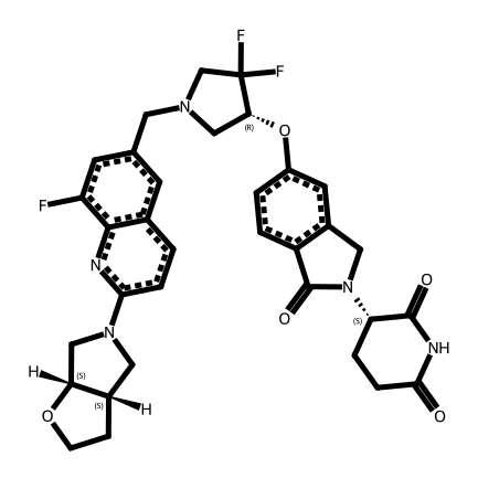 O=C1CC[C@H](N2Cc3cc(O[C@@H]4CN(Cc5cc(F)c6nc(N7C[C@@H]8CCO[C@@H]8C7)ccc6c5)CC4(F)F)ccc3C2=O)C(=O)N1